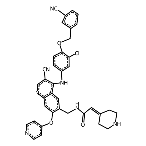 N#Cc1cccc(COc2ccc(Nc3c(C#N)cnc4cc(Oc5ccncc5)c(CNC(=O)C=C5CCNCC5)cc34)cc2Cl)c1